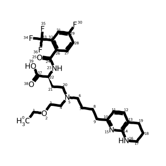 CCOCCN(CCCCc1ccc2c(n1)NCCC2)CC[C@H](NC(=O)c1ccc(F)cc1C(F)(F)F)C(=O)O